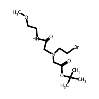 COCCNC(=O)CN(CCBr)CC(=O)OC(C)(C)C